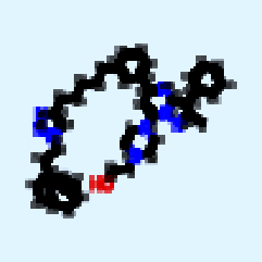 Cc1nn2c(N3CCN(CCO)CC3)cc(-c3cccc(CCCCCc4cn(CCC5C6CC7CC(C6)CC5C7)nn4)c3)nc2c1-c1ccccc1